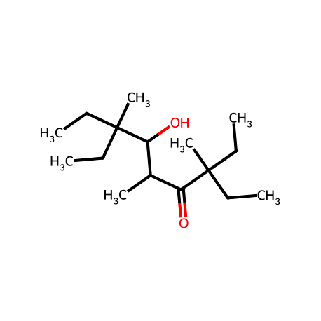 CCC(C)(CC)C(=O)C(C)C(O)C(C)(CC)CC